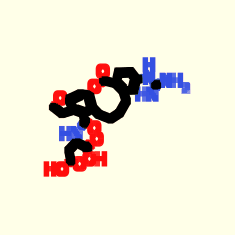 N=C(N)Nc1ccc2c(c1)CCCCc1c(cc3c(c1C(=O)NC(CC(=O)O)C(=O)O)CCO3)OC2=O